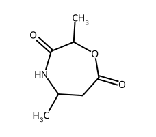 CC1CC(=O)OC(C)C(=O)N1